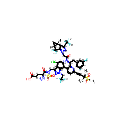 CC(C)(C#Cc1ccc(-c2ccc(Cl)c3c(CN(C(=O)C(N)CCC(=O)O)[SH](=O)=O)nn(CC(F)(F)F)c23)c(C(Cc2cc(F)cc(F)c2)NC(=O)Cn2nc(C(F)(F)F)c3c2C(F)(F)[C@@H]2C[C@H]32)n1)S(C)(=O)=O